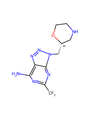 Nc1nc(C(F)(F)F)nc2c1nnn2C[C@H]1CNCCO1